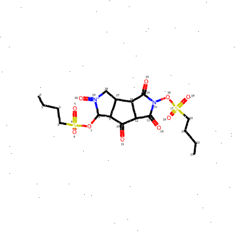 CCCCS(=O)(=O)OC1C2C(=O)C3C(=O)N(OS(=O)(=O)CCCC)C(=O)C3C2C[N+]1=O